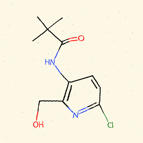 CC(C)(C)C(=O)Nc1ccc(Cl)nc1CO